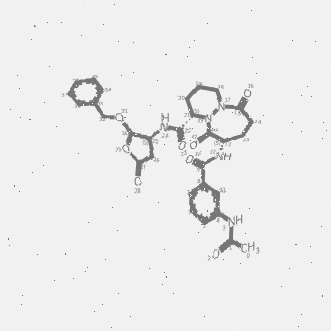 CC(=O)Nc1cccc(C(=O)N[C@H]2CCC(=O)N3CCC[C@@H](C(=O)N[C@H]4CC(=O)OC4OCc4ccccc4)N3C2=O)c1